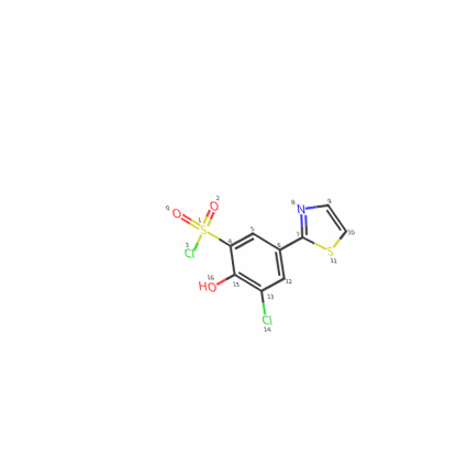 O=S(=O)(Cl)c1cc(-c2nccs2)cc(Cl)c1O